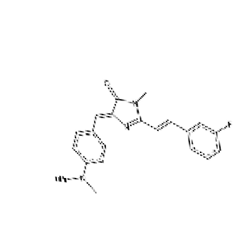 CCCN(C)c1ccc(/C=C2N=C(/C=C/c3cccc(F)c3)N(C)C\2=O)cc1